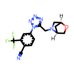 N#Cc1ccc(-n2nnnc2CN2C[C@@H]3C[C@H]2CO3)cc1C(F)(F)F